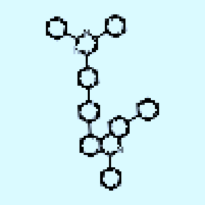 c1ccc(-c2ccc3c(c2)nc(-c2ccccc2)c2cccc(-c4ccc(-c5ccc(-c6cc(-c7ccccc7)nc(-c7ccccc7)n6)cc5)cc4)c23)cc1